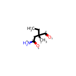 CCC(C)([C]=O)CC(N)=O